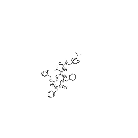 CC(C)c1nc(CN(C)C(=O)N[C@H](C(=O)N[C@@H](Cc2ccccc2)C[C@H](O)[C@H](Cc2ccccc2)NC(=O)OCc2cncs2)C(C)C)co1